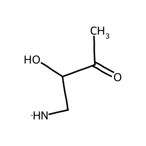 CC(=O)C(O)C[NH]